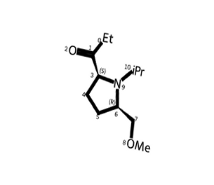 CCC(=O)[C@@H]1CC[C@H](COC)N1C(C)C